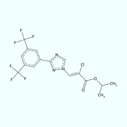 CC(C)OC(=O)/C(Cl)=C/n1cnc(-c2cc(C(F)(F)F)cc(C(F)(F)F)c2)n1